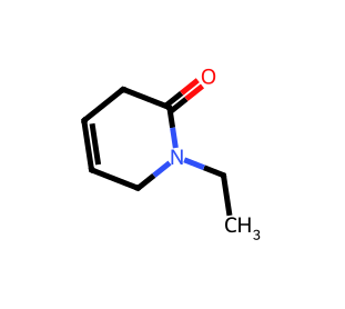 CCN1CC=CCC1=O